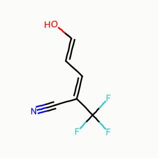 N#C/C(=C\C=C\O)C(F)(F)F